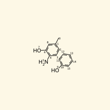 Cc1ccc(N)c(O)c1.Oc1ccccc1